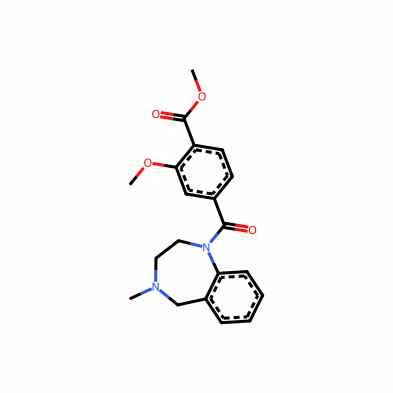 COC(=O)c1ccc(C(=O)N2CCN(C)Cc3ccccc32)cc1OC